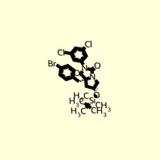 CC(C)(C)[Si](C)(C)O[C@H]1CN2C(=O)N(c3cc(Cl)cc(Cl)c3)C(=O)[C@]2(Cc2ccc(Br)cc2)C1